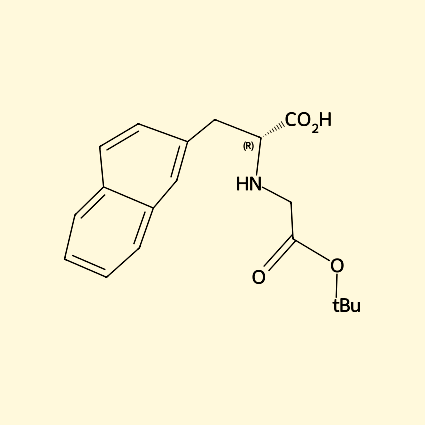 CC(C)(C)OC(=O)CN[C@H](Cc1ccc2ccccc2c1)C(=O)O